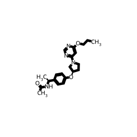 CCCOc1cc(N2CC[C@@H](Oc3ccc([C@H](C)NC(C)=O)cc3)C2)ncn1